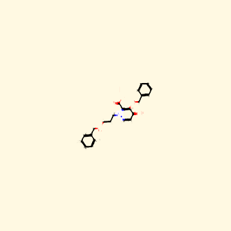 O=C(O)c1c(OCc2ccccc2)c(=O)ccn1CCCOCc1ccccc1